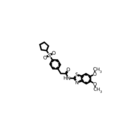 COc1cc2nc(NC(=O)Cc3ccc(S(=O)(=O)C4CCCC4)cc3)sc2cc1OC